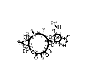 CCNC[C@@H]1C[C@H](N(C)C)[C@@H](O)[C@H](O[C@@H]2[C@@H](C)C(=O)C(C)C(=O)O[C@H](CC)[C@@]3(C)OC(C)N[C@@H]3[C@@H](C)N(C)C[C@H](C)C[C@@]2(C)OC)O1